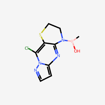 CB(O)N1CCSc2c1nc1ccnn1c2Cl